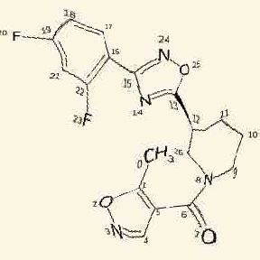 Cc1oncc1C(=O)N1CCC[C@H](c2nc(-c3ccc(F)cc3F)no2)C1